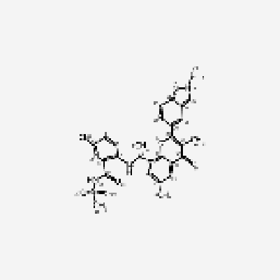 Cc1cc([C@@H](C)Nc2ccc(Cl)nc2C(=O)NS(C)(=O)=O)c2oc(-c3cc4cn(C)nc4cn3)c(C)c(=O)c2c1